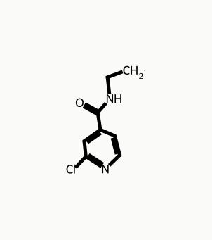 [CH2]CNC(=O)c1ccnc(Cl)c1